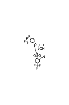 N#Cc1cc(C(F)(F)F)ccc1S(=O)(=O)N1C[C@H](COc2ccc(F)c(C(F)(F)F)c2)[C@](O)(CO)C1